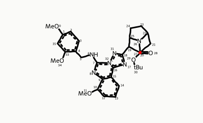 COc1ccc(CNc2nc3c(OC)cccc3c3nc(C4CCC5CCC4N5C(=O)OC(C)(C)C)nn23)c(OC)c1